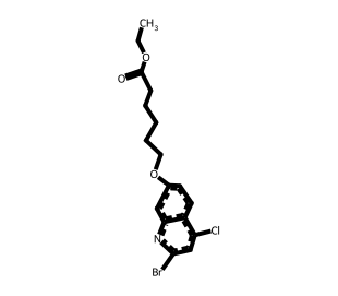 CCOC(=O)CCCCCOc1ccc2c(Cl)cc(Br)nc2c1